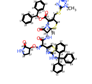 Cn1nnnc1SCC1=C(C(=O)OC(c2ccccc2)c2ccccc2)N2C(=O)[C@@H](NC(=O)/C(=N\OC3CCNC3=O)c3csc(NC(c4ccccc4)(c4ccccc4)c4ccccc4)n3)[C@@H]2SC1